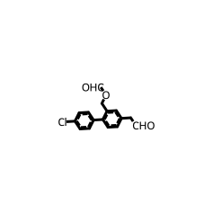 O=CCc1ccc(-c2ccc(Cl)cc2)c(COC=O)c1